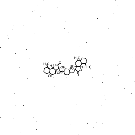 CC1=C2[C@@H]3OC(=O)C(O)(CN4CCN(CC5(O)C(=O)O[C@H]6C7=C(C)CCC[C@]7(C)CCC65O)CC4)C3(O)CC[C@@]2(C)CCC1